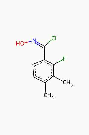 Cc1ccc(/C(Cl)=N\O)c(F)c1C